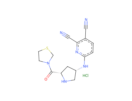 Cl.N#Cc1ccc(N[C@@H]2CN[C@H](C(=O)N3CCSC3)C2)nc1C#N